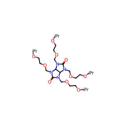 CC(C)OCCOCN1C(=O)N(COCCOC(C)C)C2C1N(COCCOC(C)C)C(=O)N2COCCOC(C)C